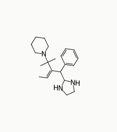 C/C=C(/C(c1ccccc1)C1NCCN1)C(C)(C)N1CCCCC1